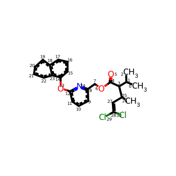 CC(C)C(C(=O)OCc1cccc(Oc2cccc3ccccc23)n1)C(C)C=C(Cl)Cl